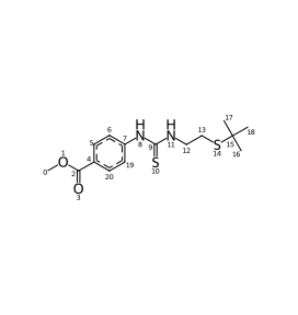 COC(=O)c1ccc(NC(=S)NCCSC(C)(C)C)cc1